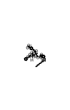 CC1=C(C(=O)OCc2ccc([N+](=O)[O-])cc2)N2C(=O)C(NC(=O)COc3ccccc3)[C@H]2S/C1=C\O.CCCCCCCC[S+]([O-])C(C)Cc1ccc2c(c1)OCO2